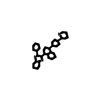 c1ccc(-c2nc3ccccc3nc2-c2ccc(-c3ccc(-c4ccccn4)cc3)c3ccccc23)cc1